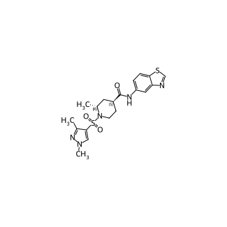 Cc1nn(C)cc1S(=O)(=O)N1CC[C@H](C(=O)Nc2ccc3scnc3c2)C[C@H]1C